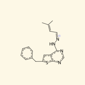 CC(C)=C/C=N\Nc1ncnc2sc(Cc3ccccc3)cc12